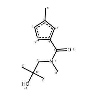 Cc1csc(C(=O)N(C)CC(C)(C)O)c1